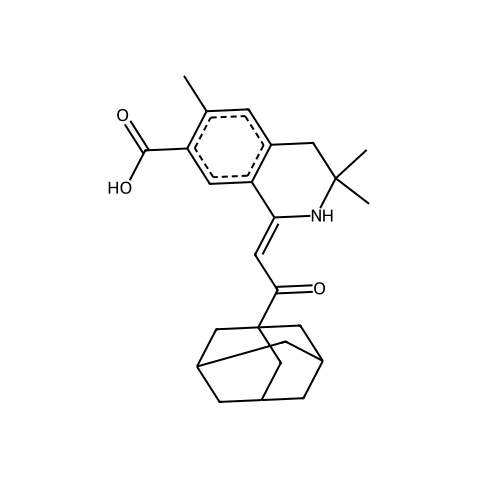 Cc1cc2c(cc1C(=O)O)C(=CC(=O)C13CC4CC(CC(C4)C1)C3)NC(C)(C)C2